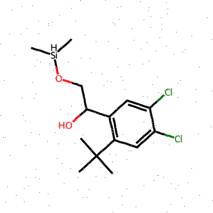 C[SiH](C)OCC(O)c1cc(Cl)c(Cl)cc1C(C)(C)C